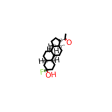 CC(=O)[C@H]1CC[C@H]2[C@@H]3CC[C@@H]4C[C@@](O)(F)CC[C@@H]4[C@H]3CC[C@]12C